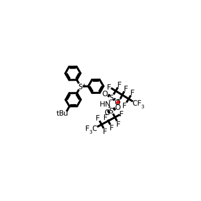 CC(C)(C)c1ccc([S+](c2ccccc2)c2ccccc2)cc1.O=S(=O)(NS(=O)(=O)C(F)(F)C(F)(F)C(F)(F)C(F)(F)F)C(F)(F)C(F)(F)C(F)(F)C(F)(F)F